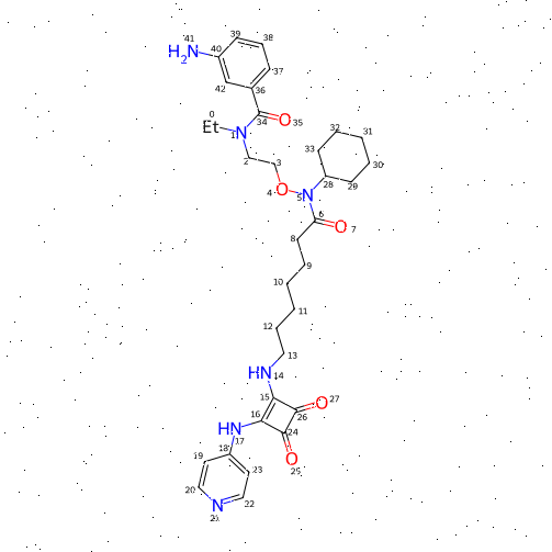 CCN(CCON(C(=O)CCCCCCNc1c(Nc2ccncc2)c(=O)c1=O)C1CCCCC1)C(=O)c1cccc(N)c1